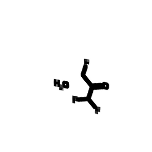 O.O=C(CF)C(F)F